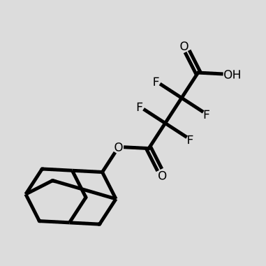 O=C(O)C(F)(F)C(F)(F)C(=O)OC1C2CC3CC(C2)CC1C3